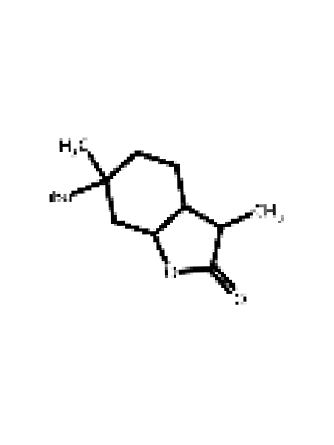 CCC(C)C1(C)CCC2C(C1)OC(=O)C2C